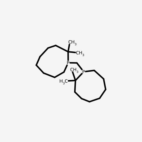 CC1(C)CCCCCCCP1CP1CCCCCCCC1(C)C